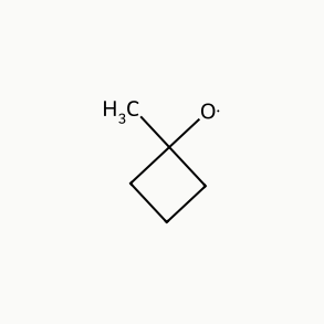 CC1([O])CCC1